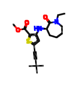 CCN1CCCC[C@@H](Nc2cc(C#CC(C)(C)C)sc2C(=O)OC)C1=O